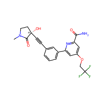 CN1CC[C@@](O)(C#Cc2cccc(-c3cc(OCC(F)(F)F)cc(C(N)=O)n3)c2)C1=O